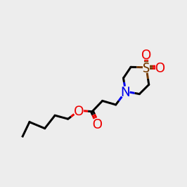 CCCCCOC(=O)CCN1CCS(=O)(=O)CC1